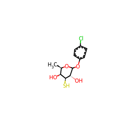 C[C@H]1OC(Oc2ccc(Cl)cc2)[C@H](O)[C@@H](S)[C@H]1O